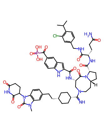 CC(C)c1ccc(CNC(=O)[C@H](CCC(N)=O)NC(=O)[C@@H]2CC[C@@H]3CCN(C(=N)[C@H]4CC[C@@H](CCc5ccc6c(c5)n(C)c(=O)n6C5CCC(=O)NC5=O)CC4)C[C@H](NC(=O)c4cc5cc(C(=O)P(=O)(O)O)ccc5[nH]4)C(=O)N32)cc1Cl